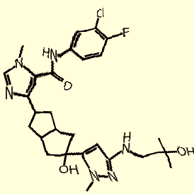 Cn1cnc(C2CC3CC(O)(c4cc(NCC(C)(C)O)nn4C)CC3C2)c1C(=O)Nc1ccc(F)c(Cl)c1